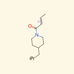 C/C=C/C(=O)N1CCC(CC(C)C)CC1